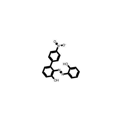 O=[N+]([O-])c1ccc(-c2cccc(O)c2N=Nc2ccccc2O)cc1